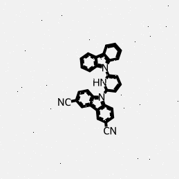 N#Cc1ccc2c(c1)c1cc(C#N)ccc1n2C1C=CC=C(n2c3c(c4ccccc42)C=C=C=C3)N1